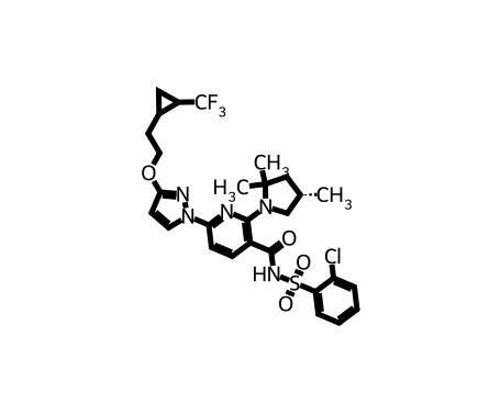 C[C@@H]1CN(c2nc(-n3ccc(OCCC4CC4C(F)(F)F)n3)ccc2C(=O)NS(=O)(=O)c2ccccc2Cl)C(C)(C)C1